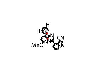 COc1ccc(CN2[C@@H]3C[C@H]2CN(c2cnc(-c4cccn5ncc(C#N)c45)cn2)C3)cn1